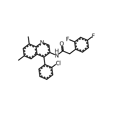 Cc1cc(C)c2ncc(NC(=O)Cc3ccc(F)cc3F)c(-c3ccccc3Cl)c2c1